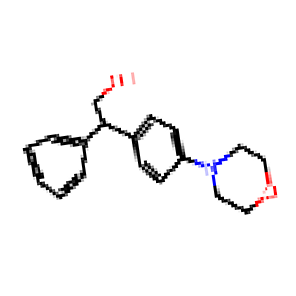 OCC(c1ccccc1)c1ccc(N2CCOCC2)cc1